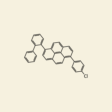 Clc1ccc(-c2ccc3ccc4c(-c5ccccc5-c5ccccc5)ccc5ccc2c3c54)cc1